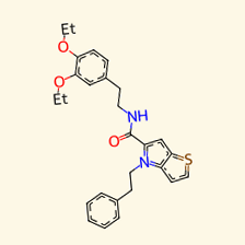 CCOc1ccc(CCNC(=O)c2cc3sccc3n2CCc2ccccc2)cc1OCC